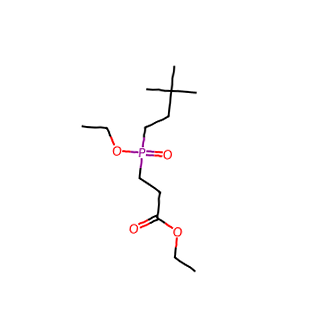 CCOC(=O)CCP(=O)(CCC(C)(C)C)OCC